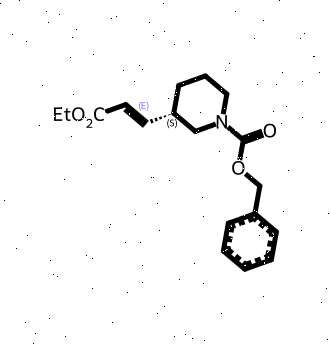 CCOC(=O)/C=C/[C@@H]1CCCN(C(=O)OCc2ccccc2)C1